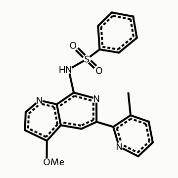 COc1ccnc2c(NS(=O)(=O)c3ccccc3)nc(-c3ncccc3C)cc12